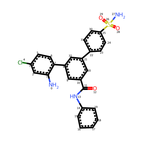 Nc1cc(Cl)ccc1-c1cc(C(=O)Nc2ccccc2)cc(-c2ccc(S(N)(=O)=O)cc2)c1